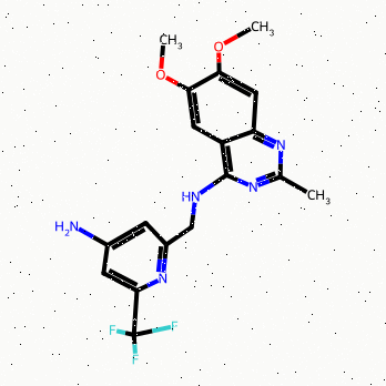 COc1cc2nc(C)nc(NCc3cc(N)cc(C(F)(F)F)n3)c2cc1OC